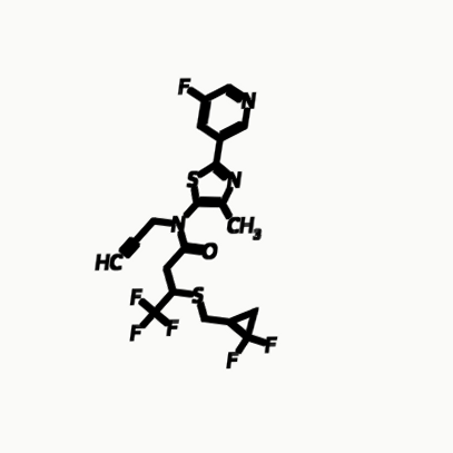 C#CCN(C(=O)CC(SCC1CC1(F)F)C(F)(F)F)c1sc(-c2cncc(F)c2)nc1C